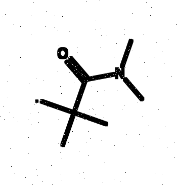 [CH2]C(C)(C)C(=O)N(C)C